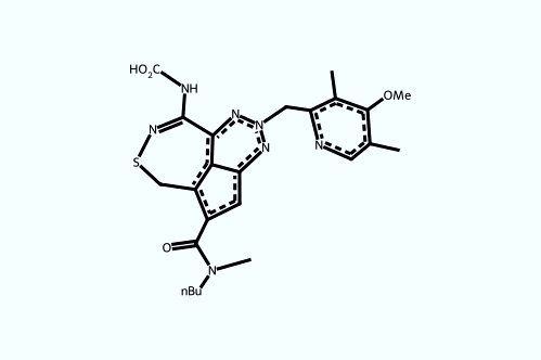 CCCCN(C)C(=O)c1cc2nn(Cc3ncc(C)c(OC)c3C)nc3c-2c1CSN=C3NC(=O)O